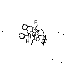 CC(=N)OC1OC(C(CF)N(Cc2ccccc2)C(=O)OCc2ccccc2)CCC1N=[N+]=[N-]